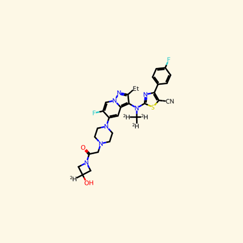 [2H]C1(O)CN(C(=O)CN2CCN(c3cc4c(N(c5nc(-c6ccc(F)cc6)c(C#N)s5)C([2H])([2H])[2H])c(CC)nn4cc3F)CC2)C1